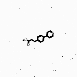 COC(=O)CCc1ccc(-c2ccncc2)cc1